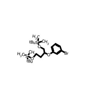 CC(C)(C)[Si](C)(C)OCCC(CO[Si](C)(C)C(C)(C)C)Oc1cccc(Br)c1